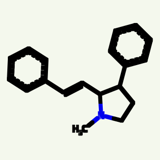 CN1CCC(c2ccccc2)C1/C=C/c1ccccc1